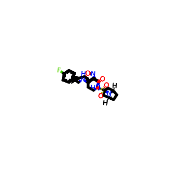 O=C(N[C@H]1C[C@H]2CC[C@@H](C1)N2S(=O)(=O)N1CCC(NCc2ccc(F)cc2)CC1)c1cc(C2CC2)on1